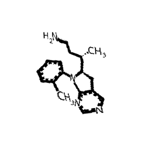 Cc1ccccc1N1c2ncncc2C[C@@H]1[C@@H](C)CCN